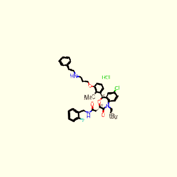 COc1c(OCCCNCCc2ccccc2)cccc1[C@@H]1O[C@@H](CC(=O)NCc2ccccc2F)C(=O)N(CC(C)(C)C)c2ccc(Cl)cc21.Cl